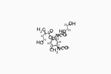 C=C(CCO)C(=O)O.Cc1ccc(N=C=O)cc1N=C=O.OCCO